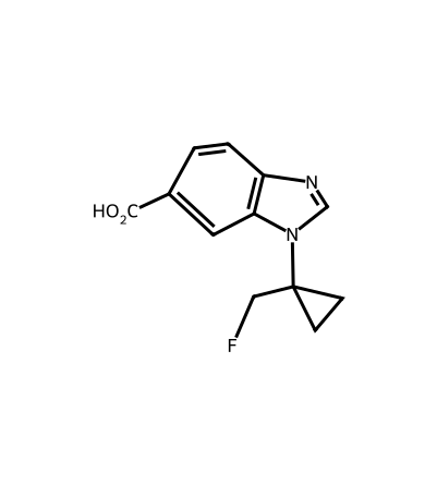 O=C(O)c1ccc2ncn(C3(CF)CC3)c2c1